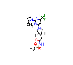 C[C@H]1CCN1c1nc(N2C[C@@H]3C(CC(=O)NS(C)(=O)=O)[C@@H]3C2)cc(C(F)(F)F)n1